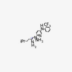 CC(C)CC/C(N)=C/N(N)c1ccc(Nc2ccccc2C(F)(F)F)cn1